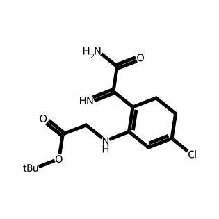 CC(C)(C)OC(=O)CNC1=C(C(=N)C(N)=O)CCC(Cl)=C1